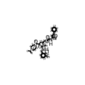 CC(C)N1CCN(C(=O)CC[C@@H](COC(=O)Nc2cc(-c3ccccc3)on2)N(C)C(=O)NCc2cccc(F)c2Cl)CC1